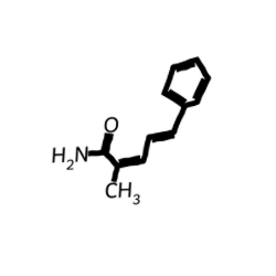 CC(=CC=Cc1ccccc1)C(N)=O